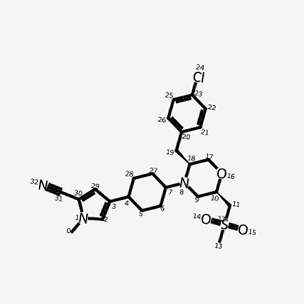 Cn1cc(C2CCC(N3C[C@H](CS(C)(=O)=O)OC[C@@H]3Cc3ccc(Cl)cc3)CC2)cc1C#N